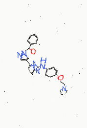 O=C(Cn1cc(-c2cccc3nc(Nc4ccc(OCCN5CCCC5)cc4)nn23)cn1)c1ccccc1